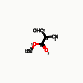 CC(C)(C)OC(=O)C(C#N)C=O